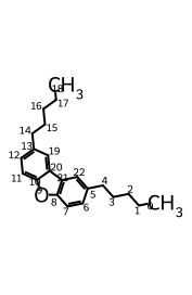 CCCCCc1ccc2oc3ccc(CCCCC)cc3c2c1